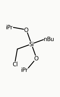 CCCC[Si](CCl)(OC(C)C)OC(C)C